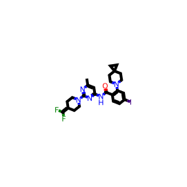 Cc1cc(NC(=O)c2ccc(I)cc2N2CCC3(CC2)CC3)nc(N2CCC(=C(F)F)CC2)n1